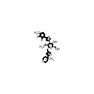 CO[C@@H]1[C@@H](n2cc(-c3ccc(C)c(F)c3F)nn2)[C@@H](O)[C@@H](CO)O[C@@H]1Cc1cc(C2(C)CCOCC2)on1